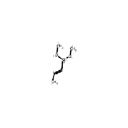 CC=C[SiH](OC)OC